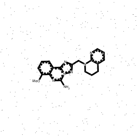 COc1cccc2c1nc(N)n1nc(CN3CCCc4cccnc43)nc21